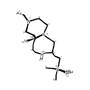 CC(=O)N1CCN2CC(C[Si](C)(C)C(C)(C)C)NC[C@@H]2C1